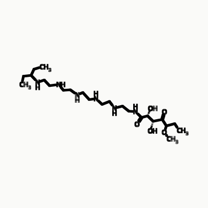 CCC(CC)NCCNCCNCCNCCNCCNC(=O)[C@H](O)[C@@H](O)C(=O)C(CC)OC